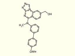 COc1ccc(-c2cccc(N(C)c3nc4nncn4c4cc(CO)ccc34)c2)cc1